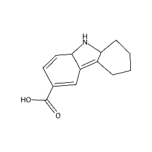 O=C(O)C1=CC2=C3CCCCC3NC2C=C1